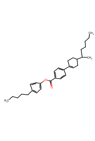 CCCCCc1ccc(OC(=O)c2ccc(C3=CCC(C(C)CCCCC)CC3)cc2)cc1